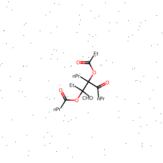 CCCC(=O)OC([C]=O)(CC)C(CCC)(OC(=O)CC)C(=O)CCC